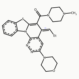 CC/C=C1/C(C(=O)N2CCN(C)CC2)=C2Sc3ccccc3N2c2nnc(N3CCOCC3)cc21